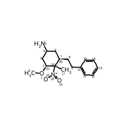 CO[C@H]1CC(N)C[C@@H](CCc2ccccc2)[C@]1(C)[N+](=O)[O-]